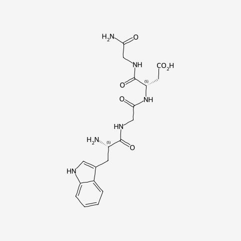 NC(=O)CNC(=O)[C@H](CC(=O)O)NC(=O)CNC(=O)[C@@H](N)Cc1c[nH]c2ccccc12